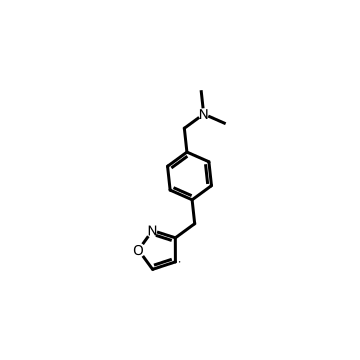 CN(C)Cc1ccc(Cc2[c]con2)cc1